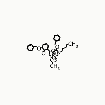 CCCCCN(CS(=O)(=O)N(CCC)CCC1=CC=CC(OCc2ccccc2)C1=O)C(=O)OCc1ccccc1